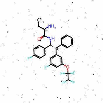 N[C@H](CC(F)(F)F)C(=O)NC(c1ccc(F)cc1)[C@H](c1ccccc1)c1cc(F)cc(OC(F)(F)C(F)F)c1